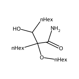 CCCCCCOC(CCCCCC)(C(N)=O)C(O)CCCCCC